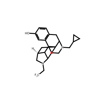 Oc1ccc2c(c1)C13CCN(CC4CC4)C(C2)C12CCC1C3[C@@H](CN1CC(F)(F)F)C2